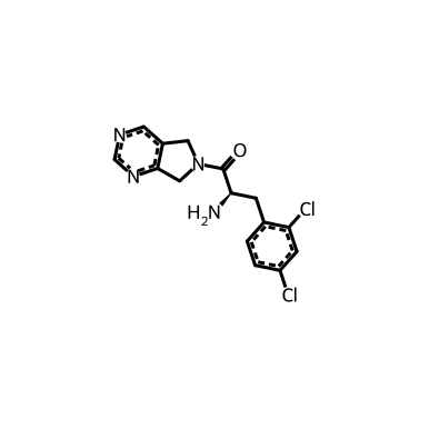 N[C@H](Cc1ccc(Cl)cc1Cl)C(=O)N1Cc2cncnc2C1